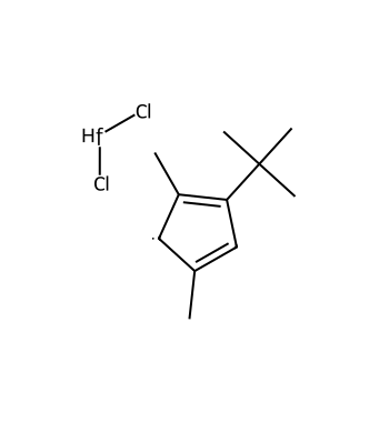 CC1=CC(C(C)(C)C)=C(C)[CH]1.[Cl][Hf][Cl]